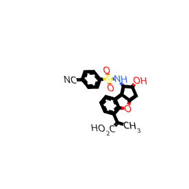 CC(C(=O)O)c1cccc2c1OC1CC(O)C(NS(=O)(=O)c3ccc(C#N)cc3)C21